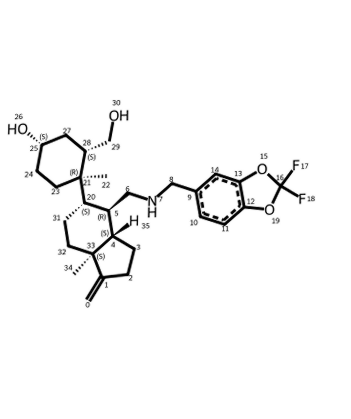 C=C1CC[C@H]2[C@H](CNCc3ccc4c(c3)OC(F)(F)O4)[C@@H]([C@@]3(C)CC[C@H](O)C[C@@H]3CO)CC[C@]12C